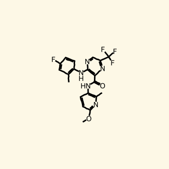 COc1ccc(NC(=O)c2nc(C(F)(F)F)cnc2Nc2ccc(F)cc2C)c(C)n1